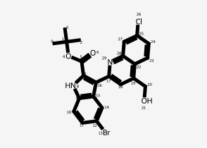 CC(C)(C)OC(=O)c1[nH]c2ccc(Br)cc2c1-c1cc(CO)c2ccc(Cl)cc2n1